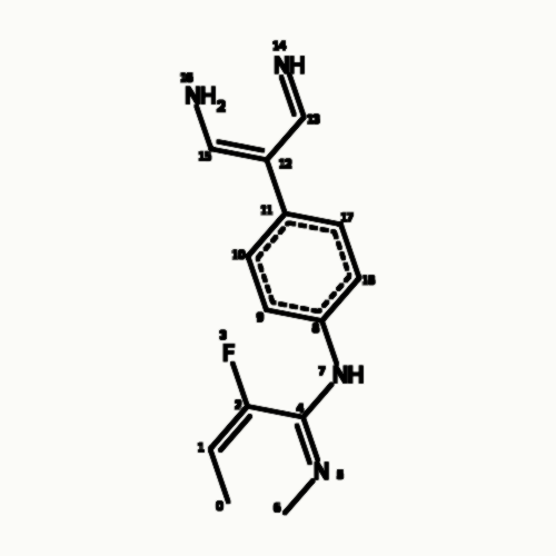 C/C=C(F)\C(=N/C)Nc1ccc(/C(C=N)=C/N)cc1